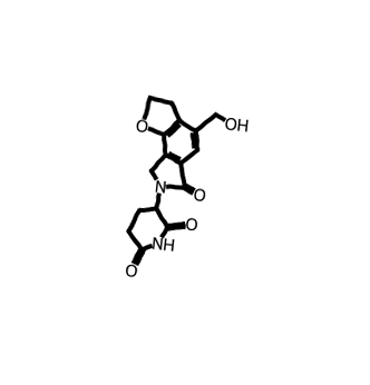 O=C1CCC(N2Cc3c(cc(CO)c4c3OCC4)C2=O)C(=O)N1